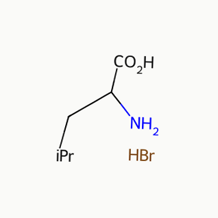 Br.CC(C)CC(N)C(=O)O